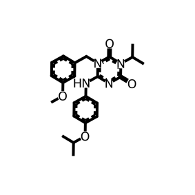 COc1cccc(Cn2c(Nc3ccc(OC(C)C)cc3)nc(=O)n(C(C)C)c2=O)c1